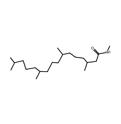 CNC(=O)CC(C)CCCC(C)CCCC(C)CCCC(C)C